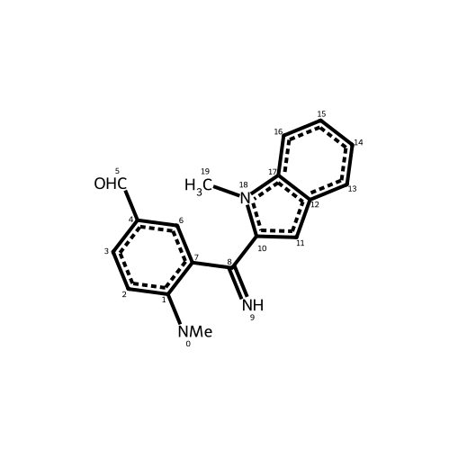 CNc1ccc(C=O)cc1C(=N)c1cc2ccccc2n1C